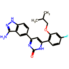 CC(C)COc1cc(F)ccc1-c1cc(-c2ccc3[nH]nc(N)c3c2)nc(=O)[nH]1